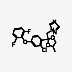 CC1COC(Cn2cncn2)(c2ccc(Oc3c(F)cccc3F)cc2Cl)O1